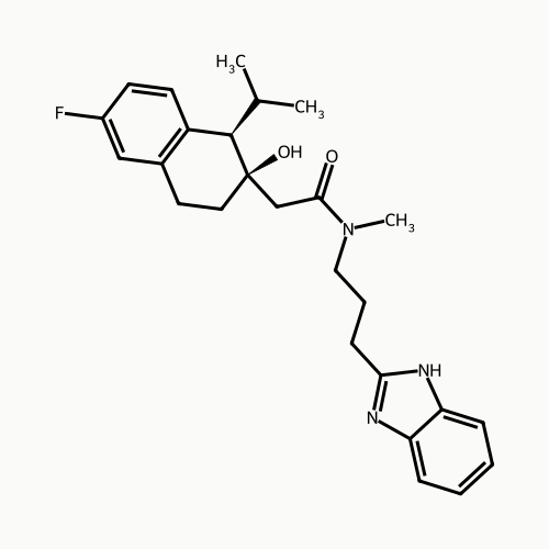 CC(C)[C@@H]1c2ccc(F)cc2CC[C@@]1(O)CC(=O)N(C)CCCc1nc2ccccc2[nH]1